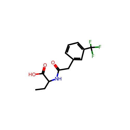 CCC(NC(=O)Cc1cccc(C(F)(F)F)c1)C(=O)O